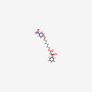 O=C(OCCCCCCOc1ccc([N+](=O)[O-])cc1)OB(O)c1ccccc1